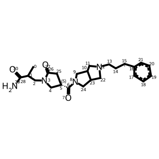 CC(CN1C[C@@H](C(=O)N2CC3CN(CC[CH]c4ccccc4)CC3C2)CC1=O)C(N)=O